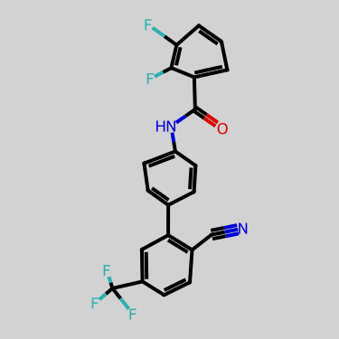 N#Cc1ccc(C(F)(F)F)cc1-c1ccc(NC(=O)c2cccc(F)c2F)cc1